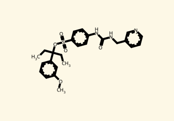 CCC(CC)(OS(=O)(=O)c1ccc(NC(=O)NCc2cccnc2)cc1)c1cccc(OC)c1